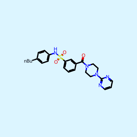 CCCCc1ccc(NS(=O)(=O)c2cccc(C(=O)N3CCN(c4ncccn4)CC3)c2)cc1